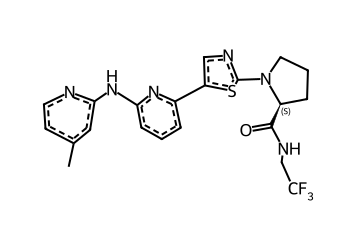 Cc1ccnc(Nc2cccc(-c3cnc(N4CCC[C@H]4C(=O)NCC(F)(F)F)s3)n2)c1